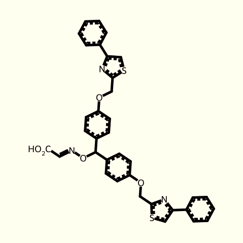 O=C(O)C=NOC(c1ccc(OCc2nc(-c3ccccc3)cs2)cc1)c1ccc(OCc2nc(-c3ccccc3)cs2)cc1